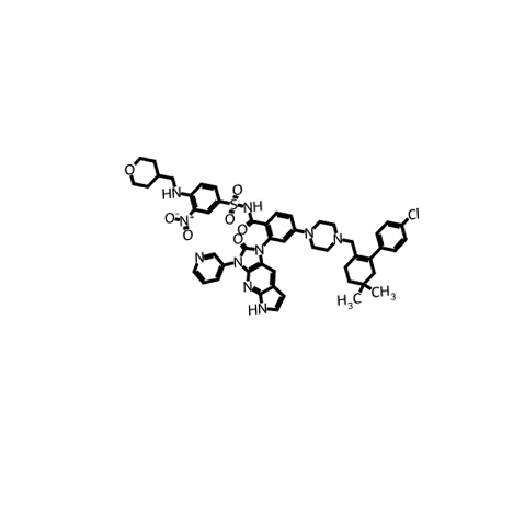 CC1(C)CCC(CN2CCN(c3ccc(C(=O)NS(=O)(=O)c4ccc(NCC5CCOCC5)c([N+](=O)[O-])c4)c(-n4c(=O)n(-c5cccnc5)c5nc6[nH]ccc6cc54)c3)CC2)=C(c2ccc(Cl)cc2)C1